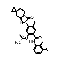 Cc1c(Cl)cccc1NC(=O)c1cc(F)c(-n2nc3n(c2=O)CCC2(CC2)C3)cc1O[C@@H](C)C(F)(F)F